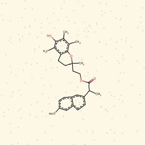 COc1ccc2cc(C(C)C(=O)OCCC3(C)CCc4c(C)c(O)c(C)c(C)c4O3)ccc2c1